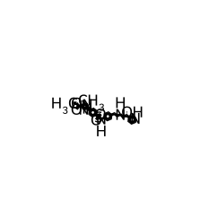 COC(=O)c1nn(-c2ccc(S(=O)(=O)Nc3ccc(CCNC[C@H](O)c4cccnc4)cc3)cc2)nc1C